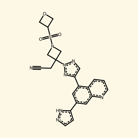 N#CCC1(n2ncc(-c3cc(-c4ccn[nH]4)cc4ncccc34)n2)CN(S(=O)(=O)C2COC2)C1